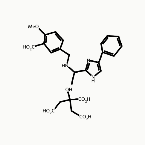 COc1ccc(CNC(C)c2nc(-c3ccccc3)c[nH]2)cc1C(=O)O.O=C(O)CC(O)(CC(=O)O)C(=O)O